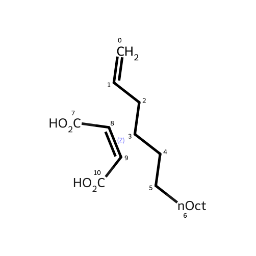 C=CCCCCCCCCCCCC.O=C(O)/C=C\C(=O)O